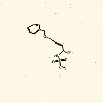 C[C@H](C=CCOCc1ccccc1)NS(C)(=O)=O